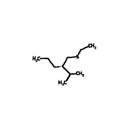 CCC[C@H](CSCC)C(C)C